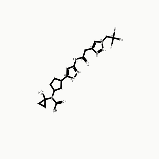 CC1(N(C(=O)O)C2CCC(c3cc(NC(=O)Cc4cn(CC(F)(F)F)nn4)n[nH]3)C2)CC1